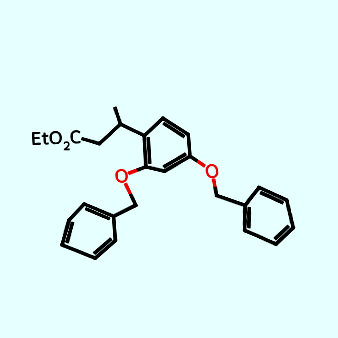 CCOC(=O)CC(C)c1ccc(OCc2ccccc2)cc1OCc1ccccc1